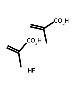 C=C(C)C(=O)O.C=C(C)C(=O)O.F